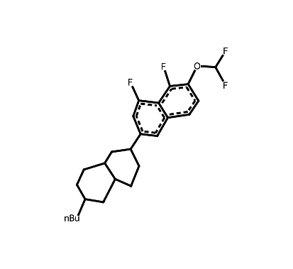 CCCCC1CCC2CC(c3cc(F)c4c(F)c(OC(F)F)ccc4c3)CCC2C1